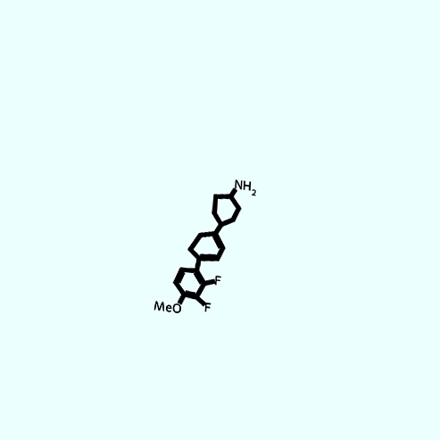 COc1ccc(C2=CC=C(C3CCC(N)CC3)CC2)c(F)c1F